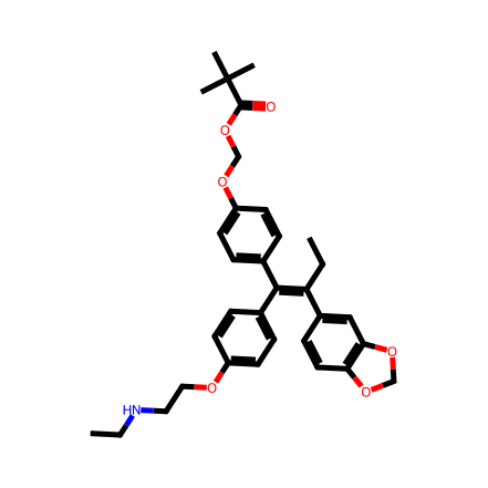 CCNCCOc1ccc(/C(=C(/CC)c2ccc3c(c2)OCO3)c2ccc(OCOC(=O)C(C)(C)C)cc2)cc1